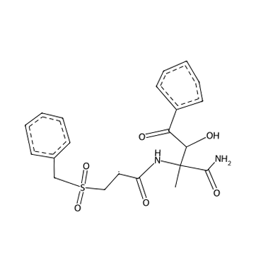 CC(NC(=O)[CH]CS(=O)(=O)Cc1ccccc1)(C(N)=O)C(O)C(=O)c1ccccc1